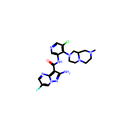 CN1CCN2CCN(c3c(Cl)cncc3NC(=O)c3c(N)nn4cc(F)cnc34)CC2C1